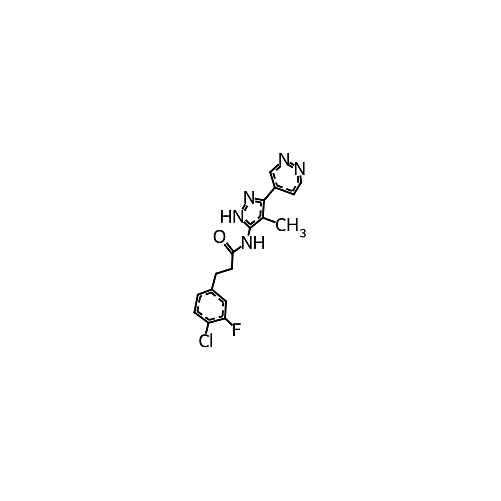 Cc1c(-c2ccnnc2)n[nH]c1NC(=O)CCc1ccc(Cl)c(F)c1